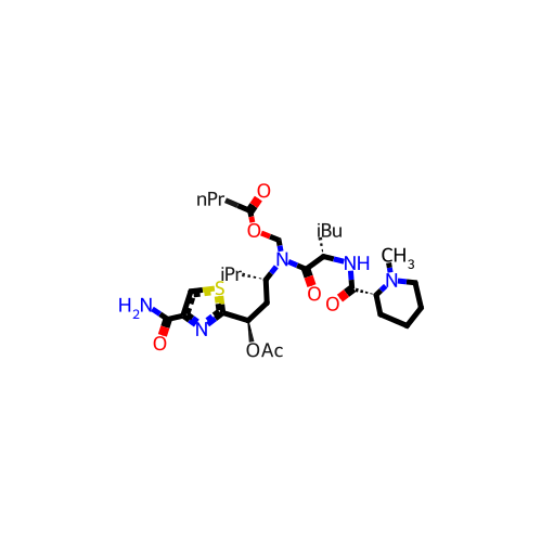 CCCC(=O)OCN(C(=O)[C@@H](NC(=O)[C@H]1CCCCN1C)C(C)CC)[C@H](C[C@@H](OC(C)=O)c1nc(C(N)=O)cs1)C(C)C